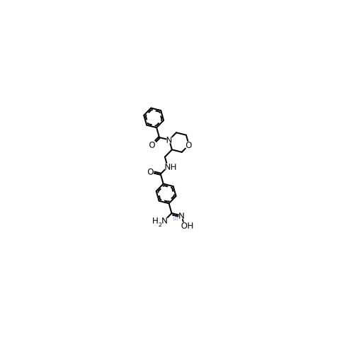 N/C(=N\O)c1ccc(C(=O)NCC2COCCN2C(=O)c2ccccc2)cc1